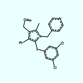 COCc1c(C(C)C)c(Sc2cc(Cl)cc(Cl)c2)n(Cc2ccncc2)c1C